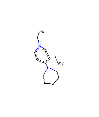 CC(C)(C)C[n+]1ccc(N2CCCCC2)cc1.CS(=O)(=O)O